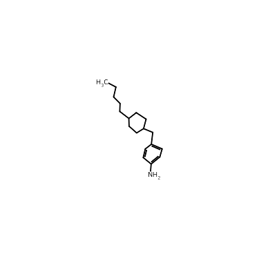 CCCCCC1CCC(Cc2ccc(N)cc2)CC1